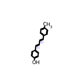 Cc1ccc(/C=C/C=C/c2ccc(O)cc2)cc1